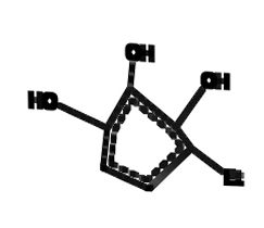 CCc1ccc(O)c(O)c1O